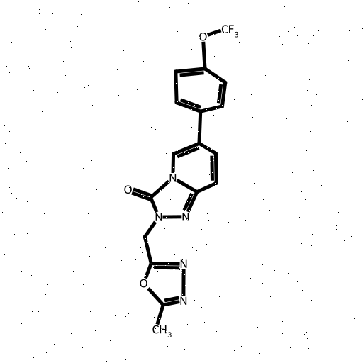 Cc1nnc(Cn2nc3ccc(-c4ccc(OC(F)(F)F)cc4)cn3c2=O)o1